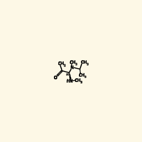 CN[C@@H](C(C)=O)N(C)C(C)C